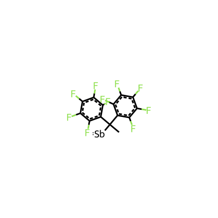 C[C]([Sb])(c1c(F)c(F)c(F)c(F)c1F)c1c(F)c(F)c(F)c(F)c1F